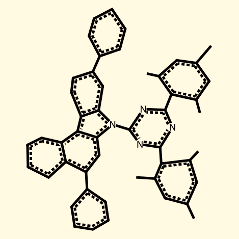 Cc1cc(C)c(-c2nc(-c3c(C)cc(C)cc3C)nc(-n3c4cc(-c5ccccc5)ccc4c4c5ccccc5c(-c5ccccc5)cc43)n2)c(C)c1